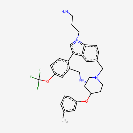 Cc1cccc(OC2CCN(Cc3ccc4c(c3)c(-c3ccc(OC(F)(F)F)cc3CN)cn4CCCN)CC2)c1